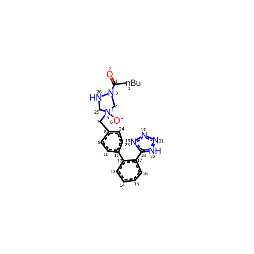 CCCCC(=O)N1C[N+]([O-])(Cc2ccc(-c3ccccc3-c3nnn[nH]3)cc2)CN1